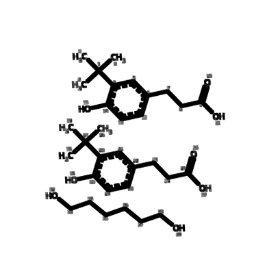 CC(C)(C)c1cc(CCC(=O)O)ccc1O.CC(C)(C)c1cc(CCC(=O)O)ccc1O.OCCCCCCO